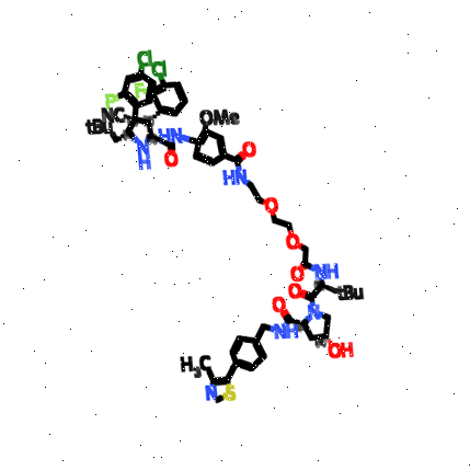 COc1cc(C(=O)NCCOCCOCC(=O)N[C@H](C(=O)N2C[C@H](O)C[C@H]2C(=O)NCc2ccc(-c3scnc3C)cc2)C(C)(C)C)ccc1NC(=O)[C@H]1N[C@H](CC(C)(C)C)[C@@](C#N)(c2ccc(Cl)cc2F)[C@@H]1c1cccc(Cl)c1F